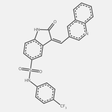 O=C1Nc2ccc(S(=O)(=O)Nc3ccc(C(F)(F)F)cc3)cc2C1=Cc1cnc2ccccc2c1